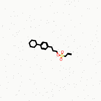 C=CCS(=O)(=O)OCCCc1ccc(C2CCCCC2)cc1